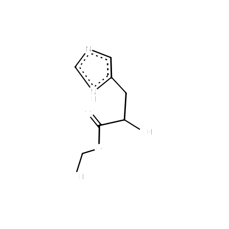 CCOC(=O)C(C)Cc1cnc[nH]1